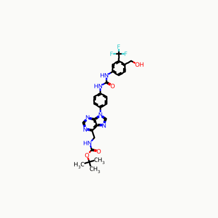 CC(C)(C)OC(=O)NCc1ncnc2c1ncn2-c1ccc(NC(=O)Nc2ccc(CO)c(C(F)(F)F)c2)cc1